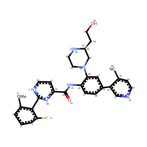 COc1cccc(F)c1-c1nccc(C(=O)Nc2ccc(-c3cnccc3C#N)cc2N2CCN[C@@H](CCO)C2)n1